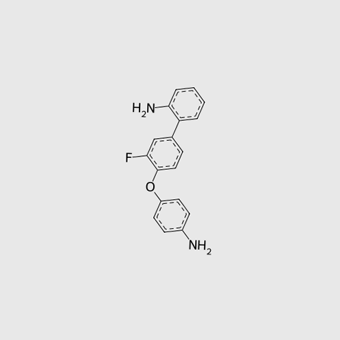 Nc1ccc(Oc2ccc(-c3ccccc3N)cc2F)cc1